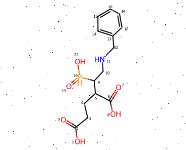 O=C(O)CCC(C(=O)O)C(CNCc1ccccc1)[PH](=O)O